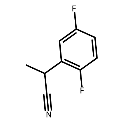 CC(C#N)c1[c]c(F)ccc1F